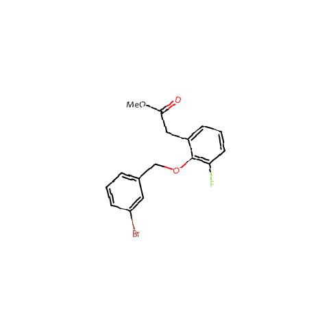 COC(=O)Cc1cccc(F)c1OCc1cccc(Br)c1